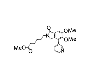 COC(=O)CCCCCN1Cc2c(cc(OC)c(OC)c2-c2cccnc2)C1=O